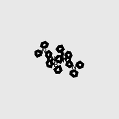 c1ccc(B2c3cc4c(cc3-n3c5ccc(N(c6ccccc6)c6ccccc6)cc5c5cccc2c53)B(c2ccccc2)c2cccc3c5cc(N(c6ccccc6)c6ccccc6)ccc5n-4c23)cc1